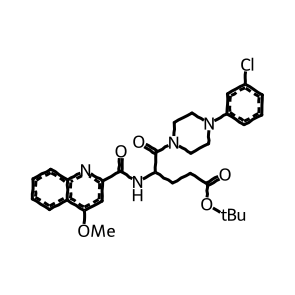 COc1cc(C(=O)NC(CCC(=O)OC(C)(C)C)C(=O)N2CCN(c3cccc(Cl)c3)CC2)nc2ccccc12